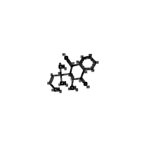 C/C=C\C(C)(C)C1=C(C)C(=O)c2ccccc2C1=O